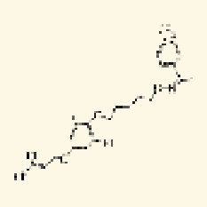 CCc1cc(OCC=C(Cl)Cl)cc(C)c1OCCCCCON=C(C)c1ccc(C(F)(F)F)cc1